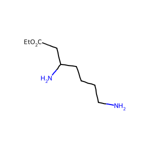 CCOC(=O)CC(N)CCCCN